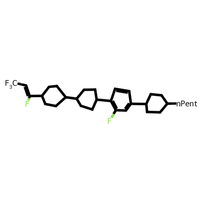 CCCCCC1CCC(c2ccc(C3CCC(C4CCC(/C(F)=C/C(F)(F)F)CC4)CC3)c(F)c2)CC1